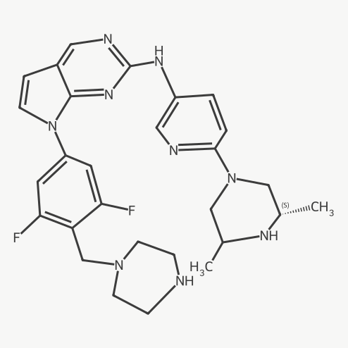 CC1CN(c2ccc(Nc3ncc4ccn(-c5cc(F)c(CN6CCNCC6)c(F)c5)c4n3)cn2)C[C@H](C)N1